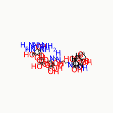 CN[C@H]1[C@@H](O)[C@@H](N(C)CCCC(=O)NCCN(C)C2[C@H](OC3[C@H](O[C@@H]4C(O)[C@@H](O)C(NC(=N)N)C(O)[C@@H]4NC(=N)N)O[C@@H](C)[C@@]3(O)CO)OC(CO)[C@H](O)[C@@H]2O)[C@H](O)[C@H]2O[C@@H]3O[C@H](C)CC(=O)[C@]3(O)O[C@H]12